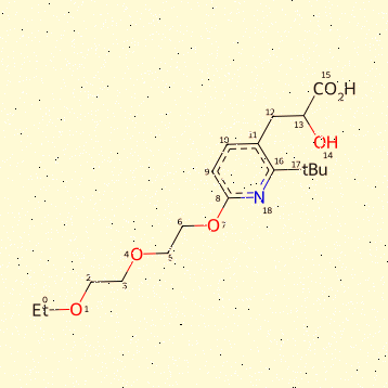 CCOCCOCCOc1ccc(CC(O)C(=O)O)c(C(C)(C)C)n1